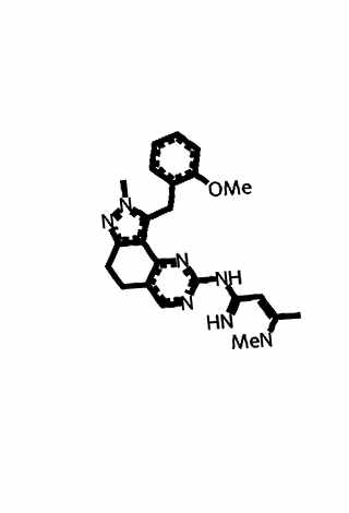 CN/C(C)=C\C(=N)Nc1ncc2c(n1)-c1c(nn(C)c1Cc1ccccc1OC)CC2